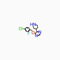 Fc1cc(Cl)ccc1COc1nccnc1C1CCNCC1